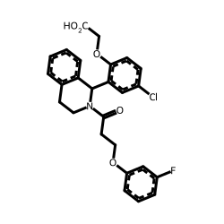 O=C(O)COc1ccc(Cl)cc1C1c2ccccc2CCN1C(=O)CCOc1cccc(F)c1